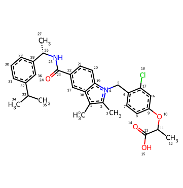 Cc1c(C)n(Cc2ccc(OC(C)C(=O)O)cc2Cl)c2ccc(C(=O)N[C@@H](C)c3cccc(C(C)C)c3)cc12